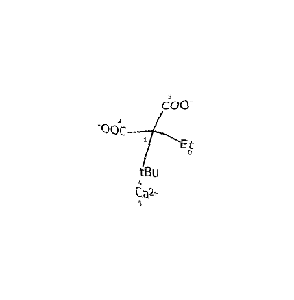 CCC(C(=O)[O-])(C(=O)[O-])C(C)(C)C.[Ca+2]